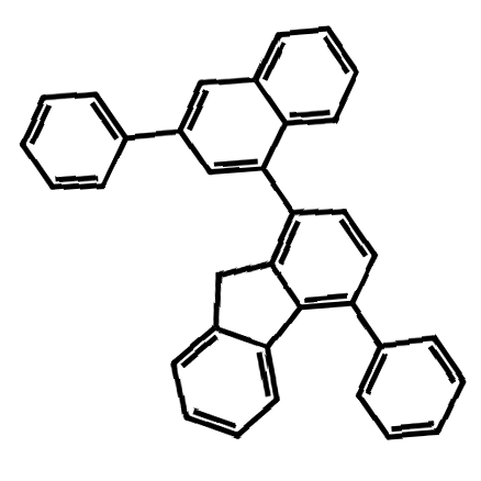 c1ccc(-c2cc(-c3ccc(-c4ccccc4)c4c3Cc3ccccc3-4)c3ccccc3c2)cc1